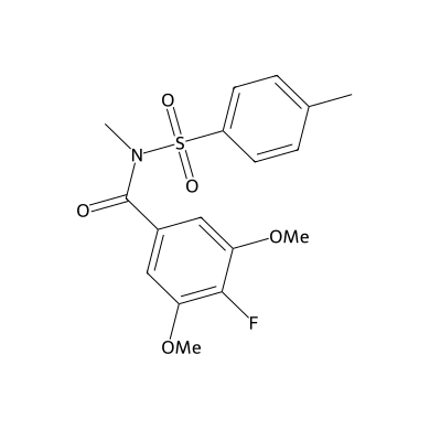 COc1cc(C(=O)N(C)S(=O)(=O)c2ccc(C)cc2)cc(OC)c1F